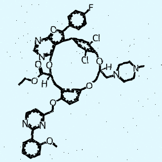 CCOC(=O)[C@H]1Cc2cc(ccc2OCc2ccnc(-c3ccccc3OC)n2)OC[C@@H](CN2CCN(C)CC2)Oc2c(Cl)cc(cc2Cl)-c2c(-c3ccc(F)cc3)oc3ncnc(c23)O1